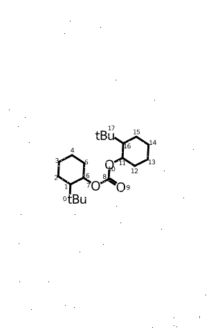 CC(C)(C)C1CCCCC1OC(=O)OC1CCCCC1C(C)(C)C